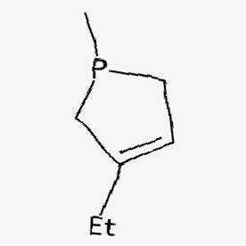 CCC1=CCP(C)C1